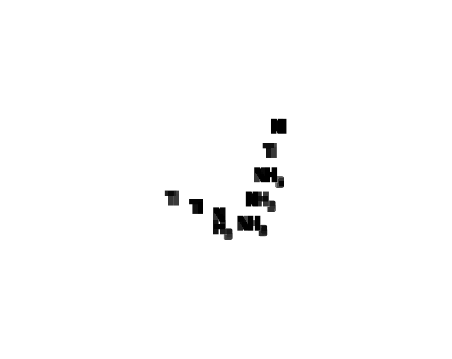 N.N.N.N.[Ni].[Ti].[Ti].[Ti]